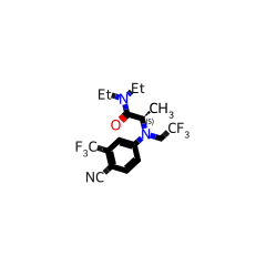 CCN(CC)C(=O)[C@H](C)N(CC(F)(F)F)c1ccc(C#N)c(C(F)(F)F)c1